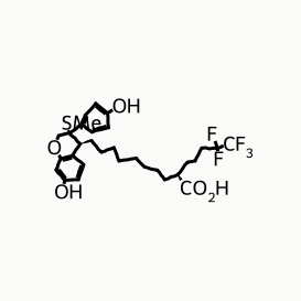 CS[C@@]1(c2ccc(O)cc2)COc2cc(O)ccc2[C@@H]1CCCCCCCC[C@@H](CCCC(F)(F)C(F)(F)F)C(=O)O